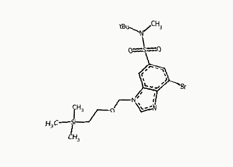 CN(C(C)(C)C)S(=O)(=O)c1cc(Br)c2ncn(COCC[Si](C)(C)C)c2c1